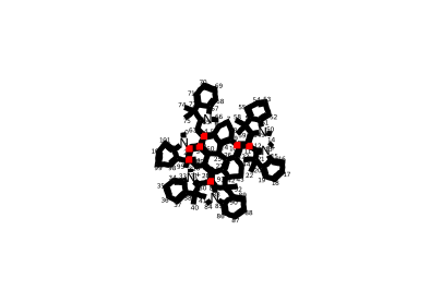 CN1C(=CC=C2CCCC(C=CC3=[N+](C)c4ccccc4C3(C)C)=C2C(C2=C(C=CC3=[N+](C)c4ccccc4C3(C)C)CCCC2=CC=C2N(C)c3ccccc3C2(C)C)C2=C(C=CC3N(C)c4ccccc4C3(C)C)CCCC2=CC=C2N(C)c3ccccc3C2(C)C)C(C)(C)c2ccccc21